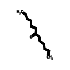 C=CCCC=CC(=O)C=CCCC=C